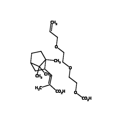 C=CCOCCOCCOC(=O)O.CC(=CC1CC2CCC1(C)C2(C)C)C(=O)O